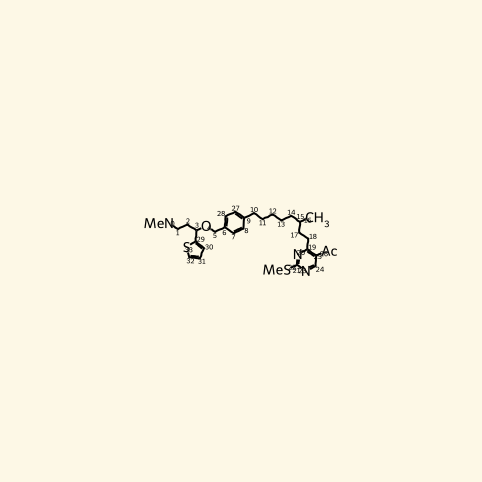 CNCCC(OCc1ccc(CCCCCC(C)CCc2nc(SC)ncc2C(C)=O)cc1)c1cccs1